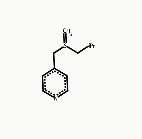 C=S(Cc1ccncc1)CC(C)C